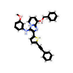 COc1cccc(Nc2c(-c3ccc(C#Cc4ccccc4)s3)nc3c(OCc4ccccc4)cccn23)c1